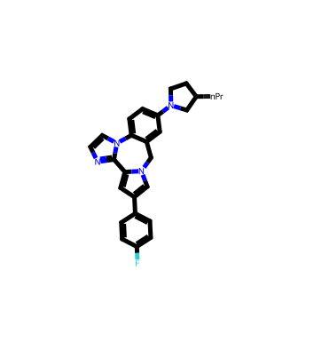 CCCC1CCN(c2ccc3c(c2)Cn2cc(-c4ccc(F)cc4)cc2-c2nccn2-3)C1